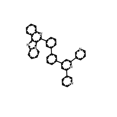 c1cc(-c2cccc(-c3nc4ccccc4c4nc5ccccn5c34)c2)cc(-c2cc(-c3cccnc3)nc(-c3cccnc3)c2)c1